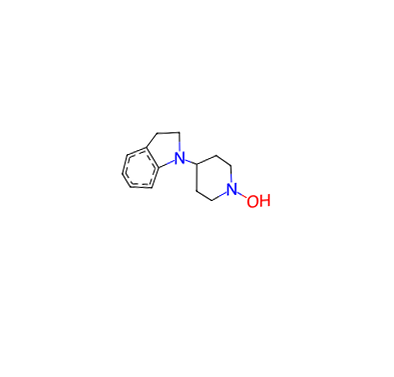 ON1CCC(N2CCc3ccccc32)CC1